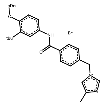 CCCCCCCCCCOc1ccc(NC(=O)c2ccc(C[n+]3csc(C)c3)cc2)cc1C(C)(C)C.[Br-]